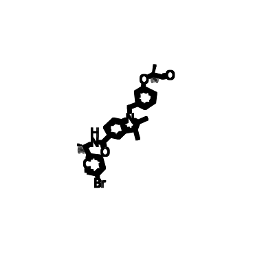 Cc1c(C)n(Cc2cccc(O[C@@H](C)C=O)c2)c2ccc(C(=O)N[C@@H](C)c3ccc(Br)cc3)cc12